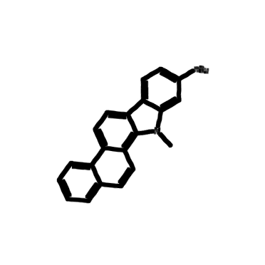 CCCCc1ccc2c3ccc4c5ccccc5ccc4c3n(C)c2c1